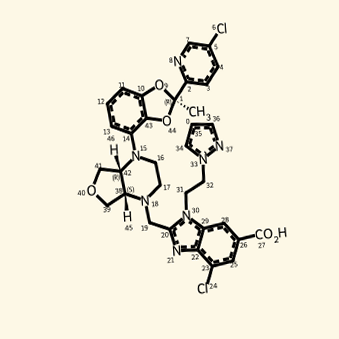 C[C@@]1(c2ccc(Cl)cn2)Oc2cccc(N3CCN(Cc4nc5c(Cl)cc(C(=O)O)cc5n4CCn4cccn4)[C@@H]4COC[C@@H]43)c2O1